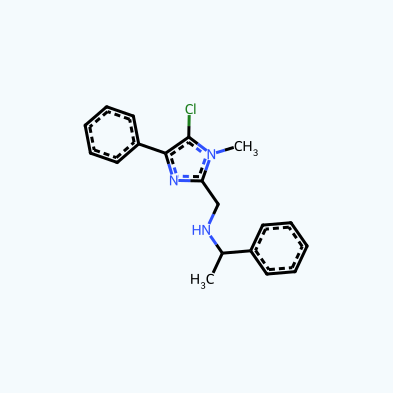 CC(NCc1nc(-c2ccccc2)c(Cl)n1C)c1ccccc1